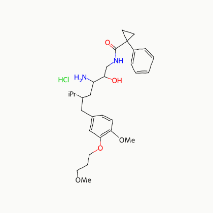 COCCCOc1cc(CC(CC(N)C(O)CNC(=O)C2(c3ccccc3)CC2)C(C)C)ccc1OC.Cl